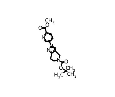 COC(=O)c1ccc(-n2cc3c(n2)CCN(C(=O)OC(C)(C)C)C3)cn1